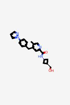 Cc1cnc(C(=O)N[C@H]2C[C@H](CO)C2)cc1Cc1ccc(-n2cccn2)cc1